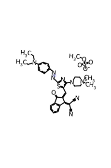 CCN(CC)c1ccc(/N=N/c2nc(N3CC[N+](C)(C)CC3)c(C=C3C(=O)c4ccccc4C3=C(C#N)C#N)s2)cc1.COS(=O)(=O)[O-]